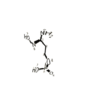 NC(CCO[PH](=O)O)=NO